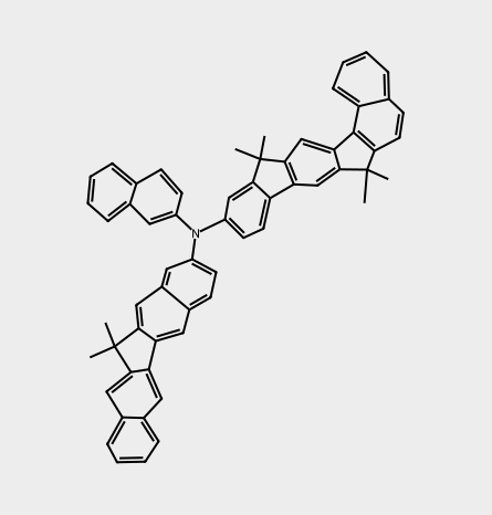 CC1(C)c2cc(N(c3ccc4ccccc4c3)c3ccc4cc5c(cc4c3)C(C)(C)c3cc4ccccc4cc3-5)ccc2-c2cc3c(cc21)-c1c(ccc2ccccc12)C3(C)C